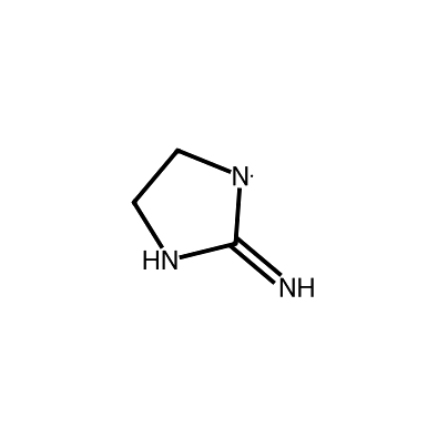 N=C1[N]CCN1